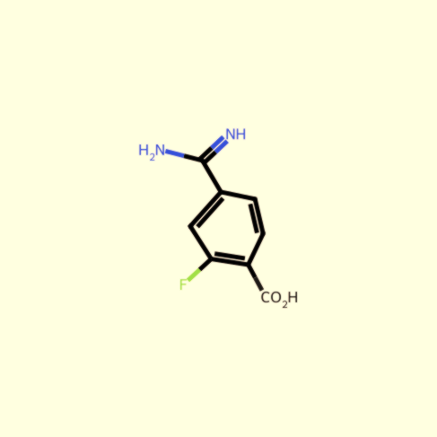 N=C(N)c1ccc(C(=O)O)c(F)c1